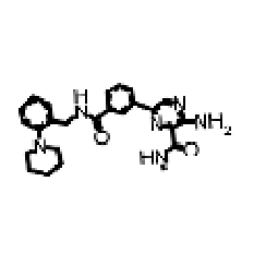 CNC(=O)c1nc(-c2cccc(C(=O)NCc3ccccc3N3CCCCC3)c2)cnc1N